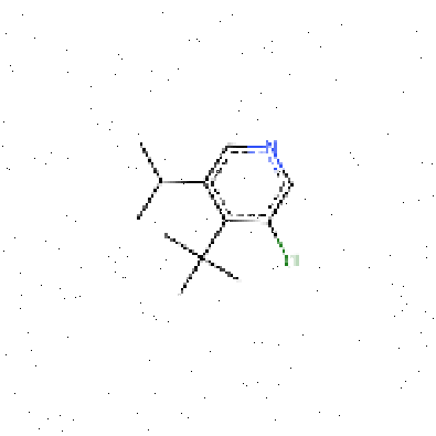 CC(C)c1cncc(Cl)c1C(C)(C)C